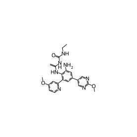 C=C(NC(=O)NCC)Nc1c(N)cc(-c2cnc(OC)nc2)cc1-c1cc(OC)ccn1